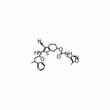 Cc1oncc1CNC(=O)OC1CCc2c(sc(NC(=O)CC(C)c3ccccc3)c2C#N)C1